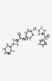 O=C(Nc1ccc(O[C@@H]2CCN(C(=O)c3nccs3)C2)cc1)N1CC(c2cccnc2)C1